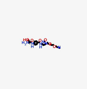 CN(C)CCOCCOCCn1ccc(NC(=O)c2ccc(NC(=O)[C@@](C)(N)CO)cc2)nc1=O